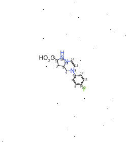 O=C(O)C1CC2CN(c3ccc(F)cc3)C=CN2N1